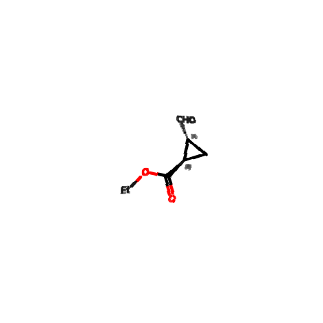 CCOC(=O)[C@@H]1C[C@H]1C=O